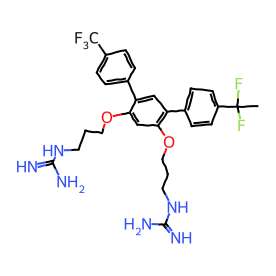 CC(F)(F)c1ccc(-c2cc(-c3ccc(C(F)(F)F)cc3)c(OCCCNC(=N)N)cc2OCCCNC(=N)N)cc1